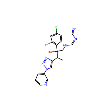 CC(c1cn(-c2cccnc2)nn1)C(O)(CN/C=N\C=N)c1ccc(F)cc1F